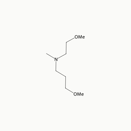 COCCCN(C)CCOC